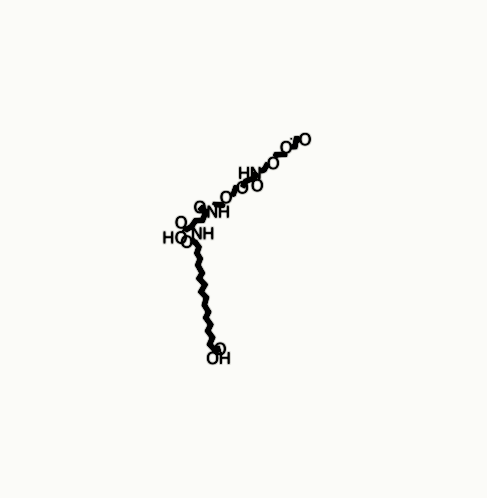 O=[C]COCCOCCNC(=O)COCCOCCNC(=O)CCC(NC(=O)CCCCCCCCCCCCCCCCC(=O)O)C(=O)O